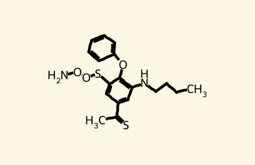 CCCCNc1cc(C(C)=S)cc(SOON)c1Oc1ccccc1